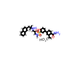 CC(C(=O)O)c1cc(-c2cccc(S(=O)(=O)N(C)C[C@H](O)CNC(C)(C)Cc3ccc4ccccc4c3)c2)ccc1C(N)=O